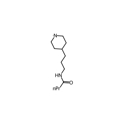 CCCC(=O)NCCCC1CC[N]CC1